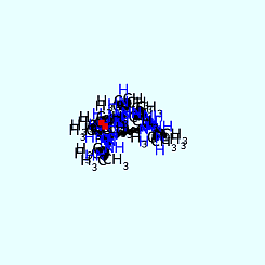 CC1(C)CC(Nc2nc(NCCCCC(CCCNc3nc(NC4CC(C)(C)NC(C)(C)C4)nc(NC4CC(C)(C)NC(C)(C)C4)n3)CNc3nc(NC4CC(C)(C)NC(C)(C)C4)nc(NC4CC(C)(C)NC(C)(C)C4)n3)nc(NC3CC(C)(C)NC(C)(C)C3)n2)CC(C)(C)N1